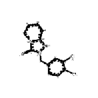 O=c1n(Cc2ccc(Cl)c(Cl)c2)nc2ccccn12